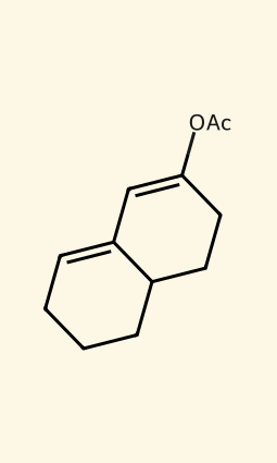 CC(=O)OC1=CC2=CCCCC2CC1